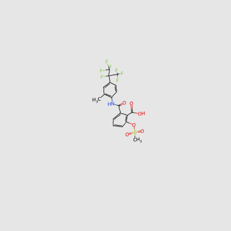 Cc1cc(C(F)(C(F)(F)F)C(F)(F)F)ccc1NC(=O)c1cccc(OS(C)(=O)=O)c1C(=O)O